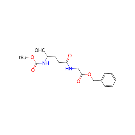 CC(C)(C)OC(=O)NC(C=O)CCC(=O)NCC(=O)OCc1ccccc1